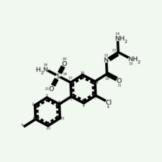 Cc1ccc(-c2cc(Cl)c(C(=O)N=C(N)N)cc2S(N)(=O)=O)cc1